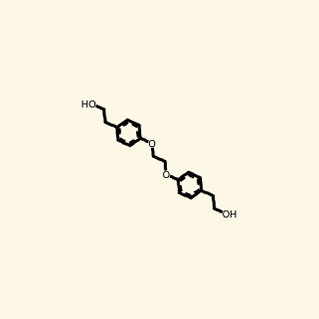 OCCc1ccc(OCCOc2ccc(CCO)cc2)cc1